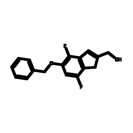 OCC1=Cc2c(F)c(OCc3ccccc3)cc(F)c2C1